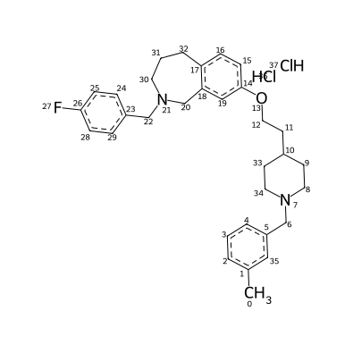 Cc1cccc(CN2CCC(CCOc3ccc4c(c3)CN(Cc3ccc(F)cc3)CCC4)CC2)c1.Cl.Cl